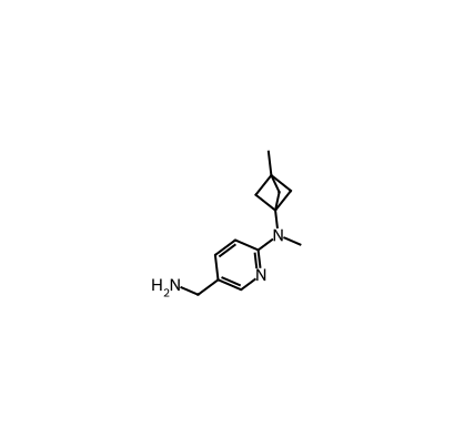 CN(c1ccc(CN)cn1)C12CC(C)(C1)C2